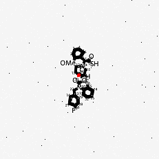 COc1ccccc1C(C(=O)S)[N+]12CCC(CC1)[C@@H](OC(=O)N(Cc1ccc(F)cc1)c1ccccc1F)C2